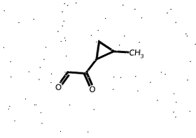 CC1[CH]C1C(=O)[C]=O